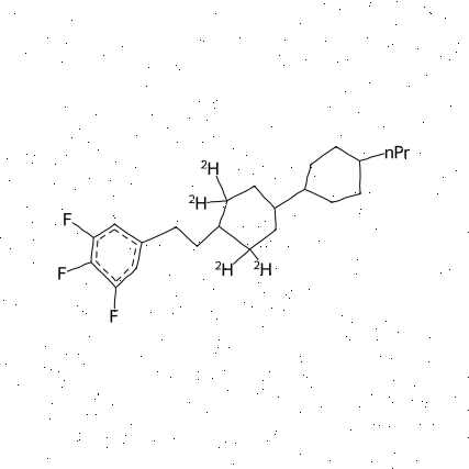 [2H]C1([2H])CC(C2CCC(CCC)CC2)CC([2H])([2H])C1CCc1cc(F)c(F)c(F)c1